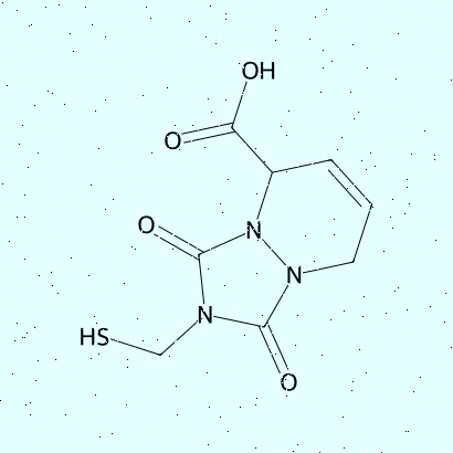 O=C(O)C1C=CCn2c(=O)n(CS)c(=O)n21